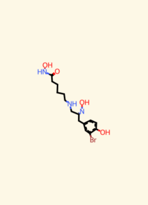 O=C(CCCCCNCC(Cc1ccc(O)c(Br)c1)=NO)NO